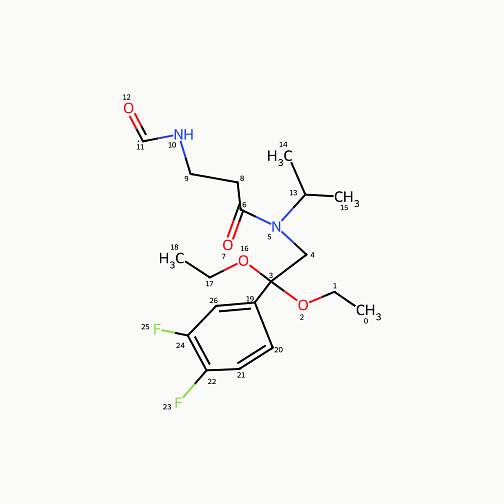 CCOC(CN(C(=O)CCN[C]=O)C(C)C)(OCC)c1ccc(F)c(F)c1